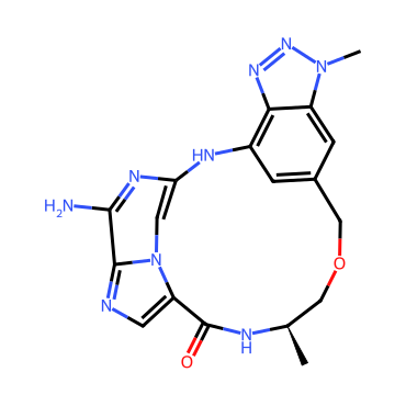 C[C@@H]1COCc2cc(c3nnn(C)c3c2)Nc2cn3c(cnc3c(N)n2)C(=O)N1